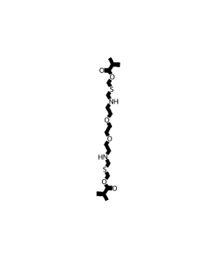 C=C(C)C(=O)OCSCNCCOCCOCCNCSCOC(=O)C(=C)C